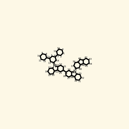 C1CCC(C2CC(C3CCCCC3)CC(N3C4CCCCC4C4CC(C5CCC6C7CCCCC7N(C7CCC8CC9CCCCC9C8C7)C6C5)CCC43)C2)CC1